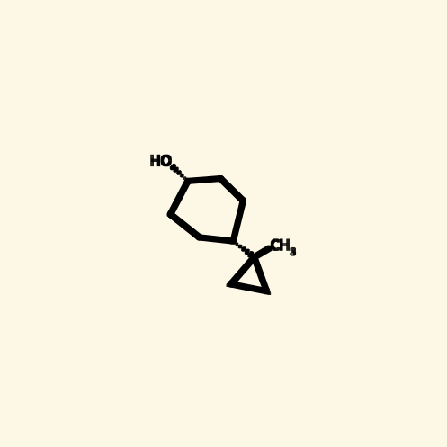 CC1([C@H]2CC[C@@H](O)CC2)CC1